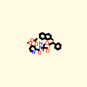 COc1ccnc(C(=O)N[C@@](C)(C=O)CO[C@@H](C)[C@H](Cc2ccc3ccccc3c2)c2ccccc2)c1OC(C)=O